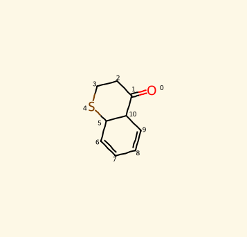 O=C1CCSC2C=CC=CC12